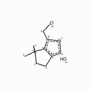 CC1(C)CCc2cnn(CCl)c21.Cl